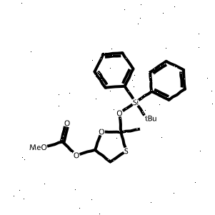 COC(=O)OC1CSC(C)(O[Si](c2ccccc2)(c2ccccc2)C(C)(C)C)O1